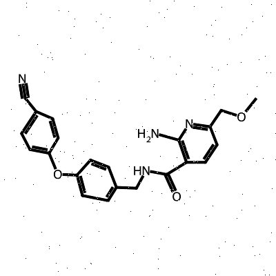 COCc1ccc(C(=O)NCc2ccc(Oc3ccc(C#N)cc3)cc2)c(N)n1